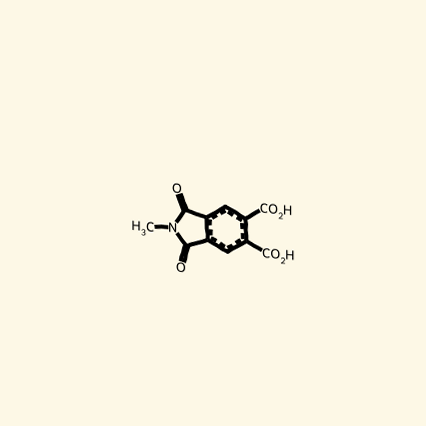 CN1C(=O)c2cc(C(=O)O)c(C(=O)O)cc2C1=O